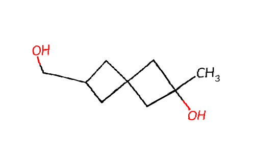 CC1(O)CC2(CC(CO)C2)C1